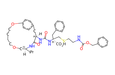 CC(C)[C@H]1COCCCCOc2ccc(cc2)C[C@@H](NC(=O)N[C@](CSCCNC(=O)OCc2ccccc2)(Cc2ccccc2)C(=O)O)C(=O)N1